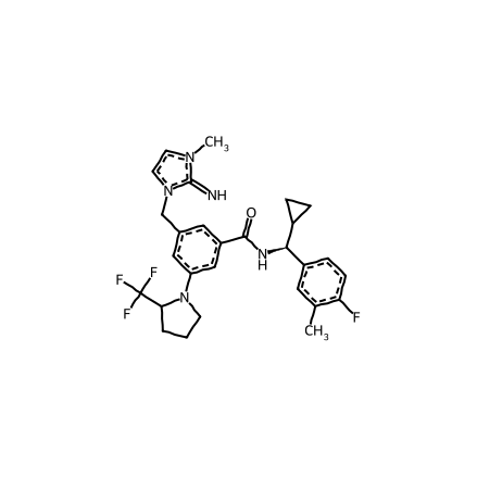 Cc1cc([C@@H](NC(=O)c2cc(Cn3ccn(C)c3=N)cc(N3CCCC3C(F)(F)F)c2)C2CC2)ccc1F